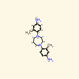 Cc1cc(N)ccc1N1CCCN(c2ccc(N)cc2C)CC1